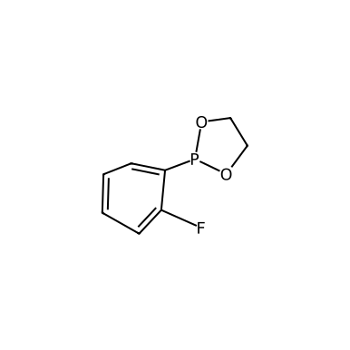 Fc1ccccc1P1OCCO1